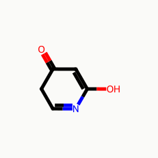 O=C1C=C(O)N=CC1